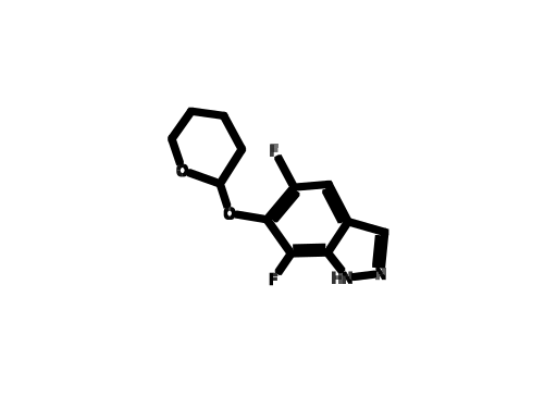 Fc1cc2cn[nH]c2c(F)c1OC1CCCCO1